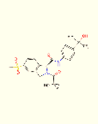 CS(=O)(=O)c1ccc2c(c1)CN(C(=O)C1(C#N)CC1)[C@@H]2C(=O)Nc1ccc(C(O)(C(F)(F)F)C(F)(F)F)cc1